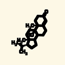 CC(C)[C@H]1CCC2C3CCC4=CC(=O)CC[C@]4(C)[C@@]3(O)CC[C@@]21C